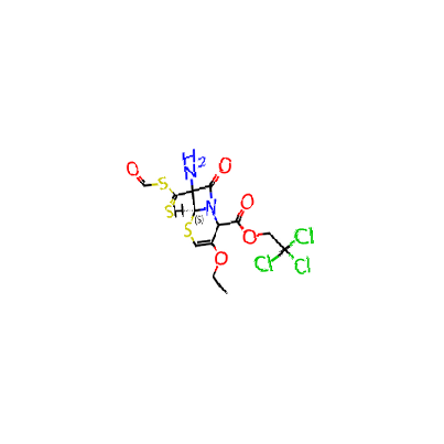 CCOC1=CS[C@@H]2N(C(=O)C2(N)C(=S)SC=O)C1C(=O)OCC(Cl)(Cl)Cl